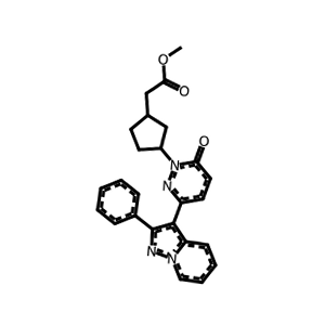 COC(=O)CC1CCC(n2nc(-c3c(-c4ccccc4)nn4ccccc34)ccc2=O)C1